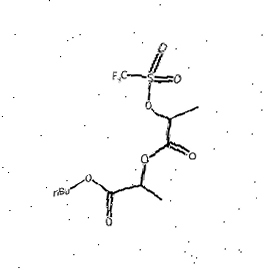 CCCCOC(=O)C(C)OC(=O)C(C)OS(=O)(=O)C(F)(F)F